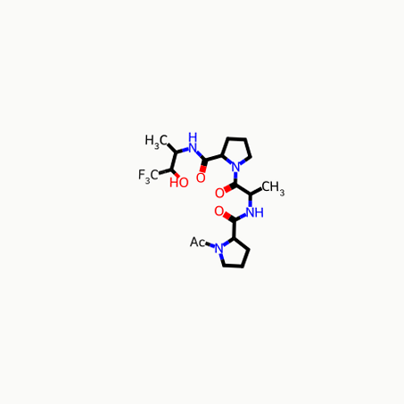 CC(=O)N1CCCC1C(=O)NC(C)C(=O)N1CCCC1C(=O)NC(C)C(O)C(F)(F)F